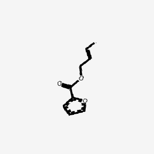 [CH2]C=CCOC(=O)c1ccco1